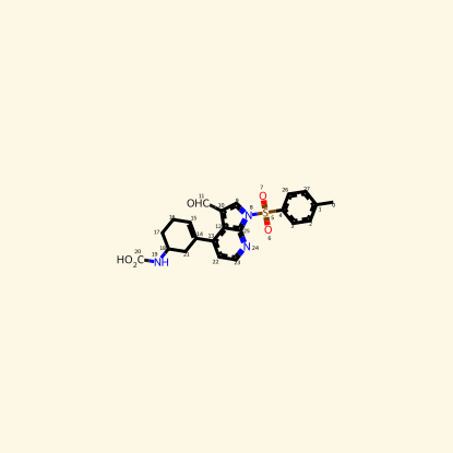 Cc1ccc(S(=O)(=O)n2cc(C=O)c3c(C4=CCCC(NC(=O)O)C4)ccnc32)cc1